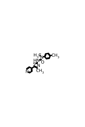 Cc1ccc(N(C)C(=O)Nc2nc(C)c(-c3ccncc3)s2)cc1